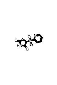 O=C1NC(=O)C(S(=O)(=O)c2ccccn2)S1